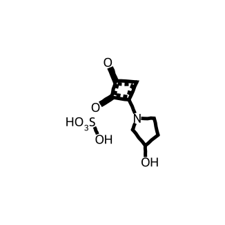 O=S(=O)(O)O.O=c1cc(N2CCC(O)C2)c1=O